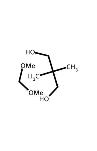 CC(C)(CO)CO.COCOC